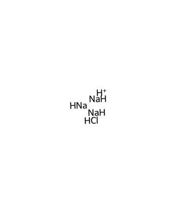 Cl.[H+].[NaH].[NaH].[NaH]